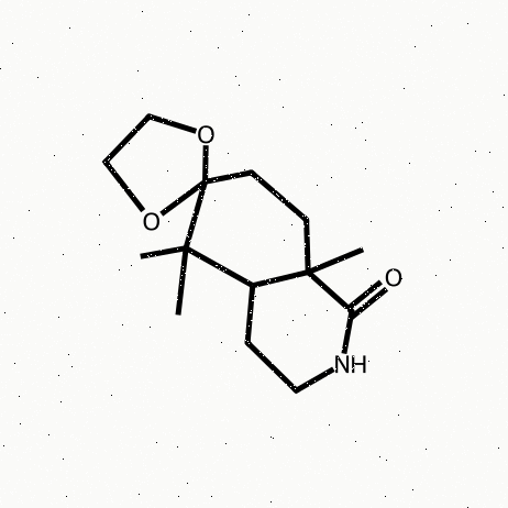 CC12CCC3(OCCO3)C(C)(C)C1CCNC2=O